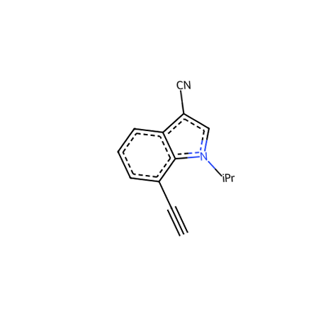 C#Cc1cccc2c(C#N)cn(C(C)C)c12